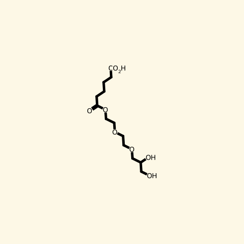 O=C(O)CCCCC(=O)OCCOCCOCC(O)CO